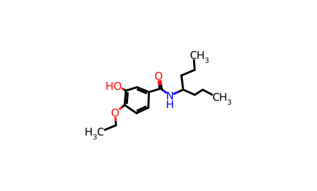 CCCC(CCC)NC(=O)c1ccc(OCC)c(O)c1